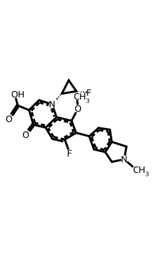 COc1c(-c2ccc3c(c2)CN(C)C3)c(F)cc2c(=O)c(C(=O)O)cn([C@@H]3C[C@@H]3F)c12